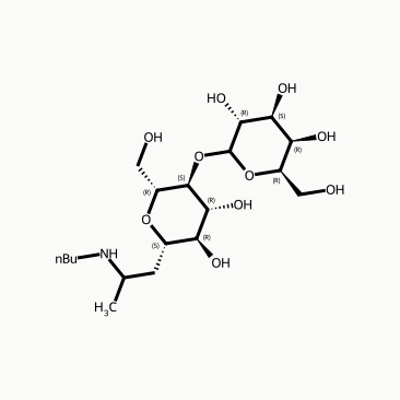 CCCCNC(C)C[C@@H]1O[C@H](CO)[C@@H](OC2O[C@H](CO)[C@H](O)[C@H](O)[C@H]2O)[C@H](O)[C@H]1O